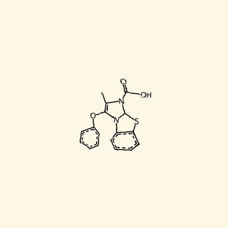 CC1=C(Oc2ccccc2)N2c3ccccc3SC2N1C(=O)O